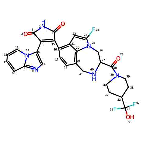 O=C1NC(=O)C(c2cnc3ccccn23)=C1c1ccc2c3c1cc(F)n3CC(C(=O)N1CCC(C(O)(F)F)CC1)NC2